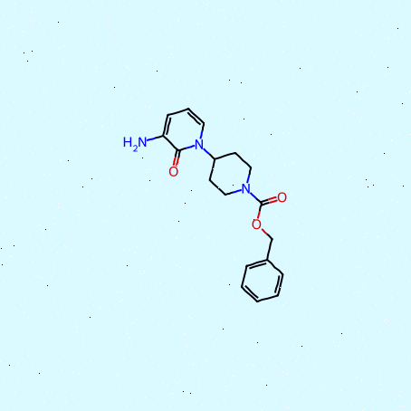 Nc1cccn(C2CCN(C(=O)OCc3ccccc3)CC2)c1=O